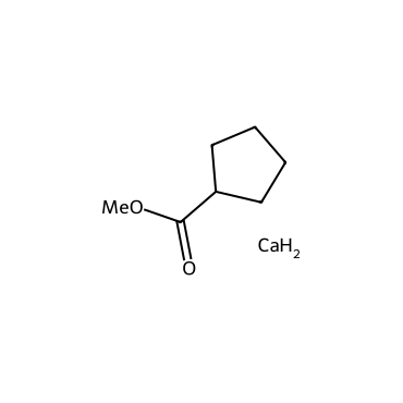 COC(=O)C1CCCC1.[CaH2]